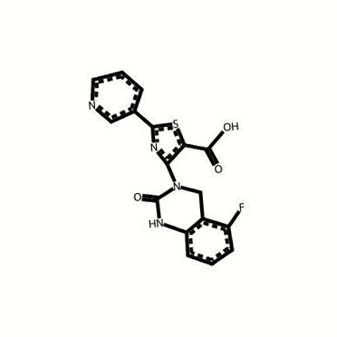 O=C(O)c1sc(-c2cccnc2)nc1N1Cc2c(F)cccc2NC1=O